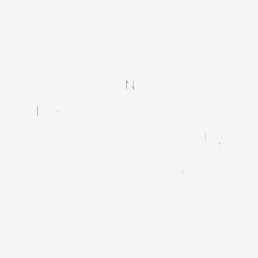 O=[SH](=O)Cc1ccc(O)cn1